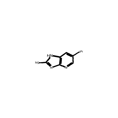 CC(C)c1cnc2nc(S)[nH]c2c1